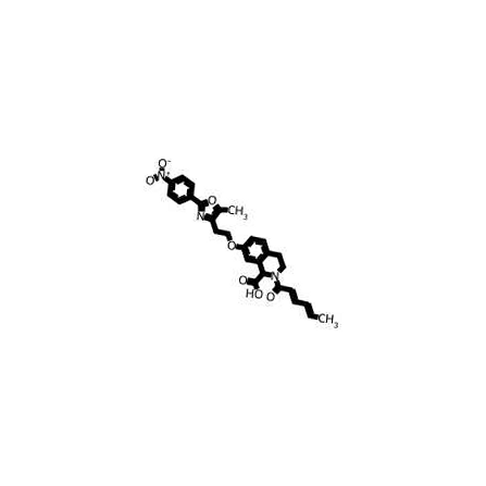 CC=CC=CC(=O)N1CCc2ccc(OCCc3nc(-c4ccc([N+](=O)[O-])cc4)oc3C)cc2C1C(=O)O